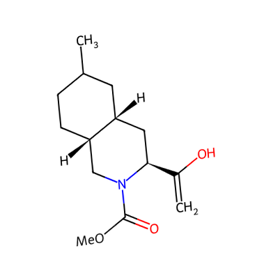 C=C(O)[C@@H]1C[C@H]2CC(C)CC[C@H]2CN1C(=O)OC